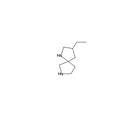 CCC1CNC2(CCNC2)C1